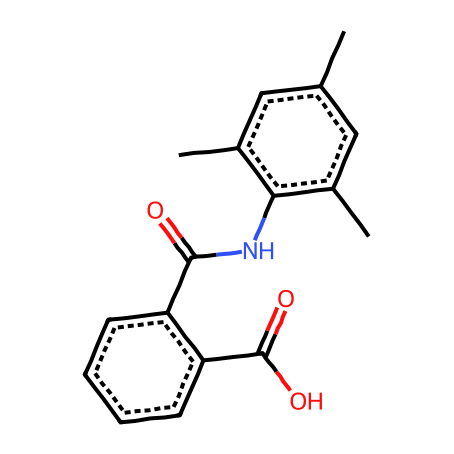 Cc1cc(C)c(NC(=O)c2ccccc2C(=O)O)c(C)c1